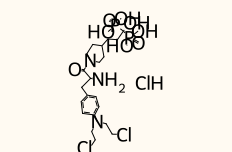 Cl.N[C@@H](Cc1ccc(N(CCCl)CCCl)cc1)C(=O)N1CCC(CCC(O)(P(=O)(O)O)P(=O)(O)O)CC1